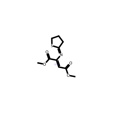 COC(=O)/C=C(\N=C1CCCS1)C(=O)OC